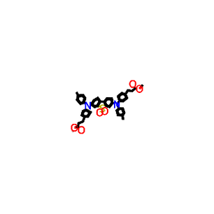 COC(=O)CCc1ccc(N(c2ccc(C)cc2)c2ccc3c(c2)S(=O)(=O)c2cc(N(c4ccc(C)cc4)c4ccc(CCC(=O)OC)cc4)ccc2-3)cc1